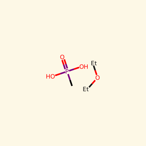 CCOCC.CP(=O)(O)O